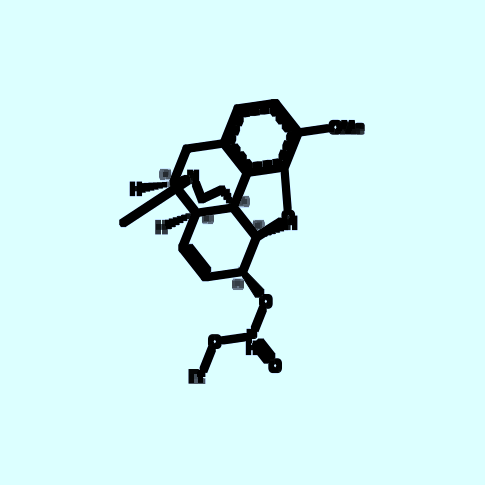 CCO[PH](=O)O[C@H]1C=C[C@H]2[C@H]3Cc4ccc(OC)c5c4[C@@]2(CCN3C)[C@H]1O5